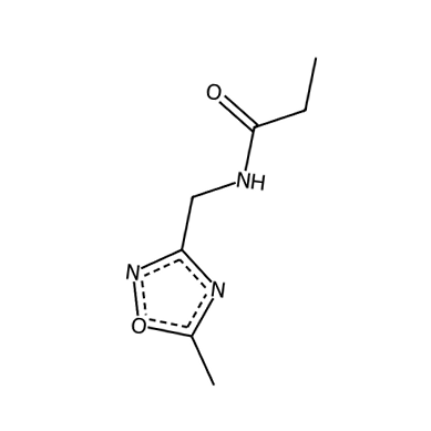 CCC(=O)NCc1noc(C)n1